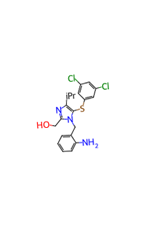 CC(C)c1nc(CO)n(Cc2ccccc2N)c1Sc1cc(Cl)cc(Cl)c1